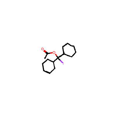 CC(=O)OC(I)(C1CCCCC1)C1CCCCC1